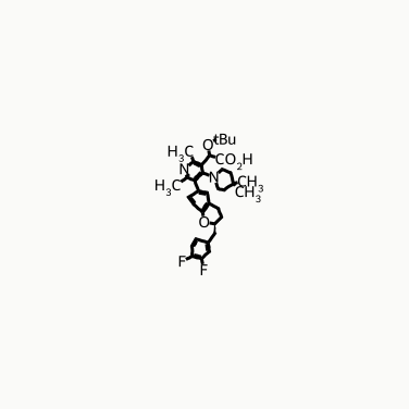 Cc1nc(C)c(C(OC(C)(C)C)C(=O)O)c(N2CCC(C)(C)CC2)c1-c1ccc2c(c1)CC[C@@H](Cc1ccc(F)c(F)c1)O2